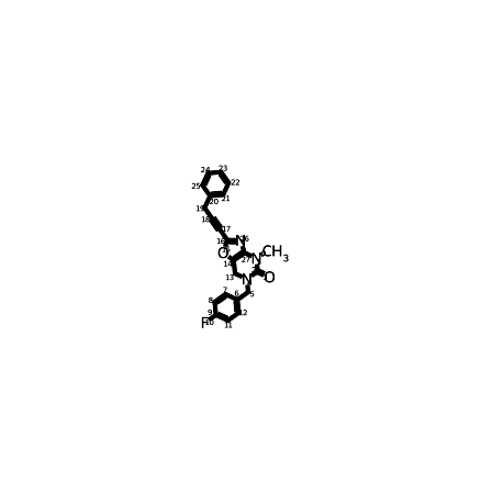 CN1C(=O)N(Cc2ccc(F)cc2)Cc2oc(C#CCc3ccccc3)nc21